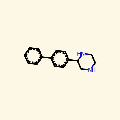 c1ccc(-c2ccc(C3CNCCN3)cc2)cc1